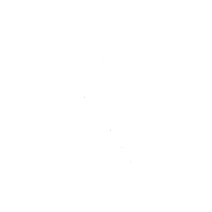 CCC(C)O[Si](CC)(OC(C)CC)C(CC)SSC(CC)[Si](CC)(OC(C)CC)OC(C)CC